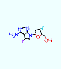 Nc1ncnc2c1c(I)cn2C1CC(F)C(CO)O1